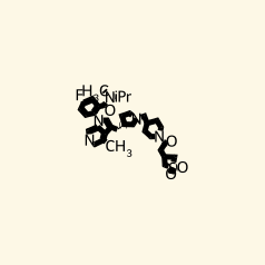 Cc1cncc2c1c(C[C@@H]1CCN(CC3CCN(C(=O)CC4CS(=O)(=O)C4)CC3)C1)cn2-c1ccc(F)cc1C(=O)N(C)C(C)C